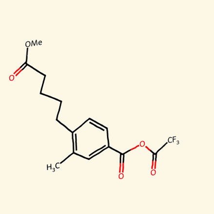 COC(=O)CCCCc1ccc(C(=O)OC(=O)C(F)(F)F)cc1C